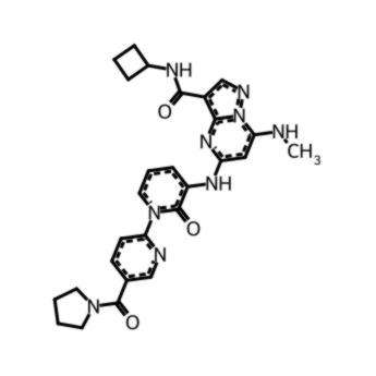 CNc1cc(Nc2cccn(-c3ccc(C(=O)N4CCCC4)cn3)c2=O)nc2c(C(=O)NC3CCC3)cnn12